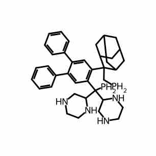 PCC1(c2cc(-c3ccccc3)c(-c3ccccc3)cc2C(P)(C2CNCCN2)C2CNCCN2)C2CC3CC(C2)CC1C3